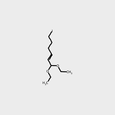 CCOC(/C=C/CCCI)OCC